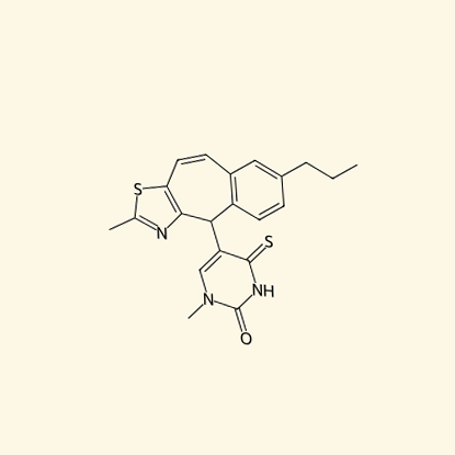 CCCc1ccc2c(c1)C=Cc1sc(C)nc1C2c1cn(C)c(=O)[nH]c1=S